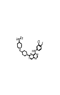 CCNC1CCN(CC2CCN(c3ncc4ncnc(Nc5ccc(F)c(Cl)c5)c4n3)CC2)CC1